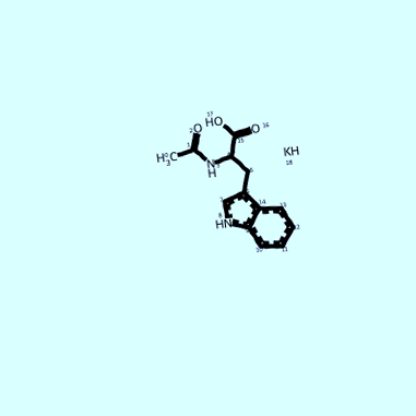 CC(=O)NC(Cc1c[nH]c2ccccc12)C(=O)O.[KH]